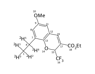 [2H]C([2H])([2H])C([2H])([2H])c1cc(OC)cc2c1OC(C(F)(F)F)C(C(=O)OCC)=C2